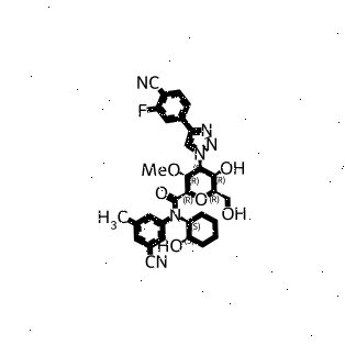 CO[C@@H]1[C@@H](n2cc(-c3ccc(C#N)c(F)c3)nn2)[C@@H](O)[C@@H](CO)O[C@H]1C(=O)N(c1cc(C)cc(C#N)c1)[C@H]1CCCC[C@@H]1O